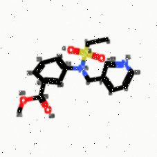 CCS(=O)(=O)N(Cc1cccnc1)c1cccc(C(=O)OC)c1